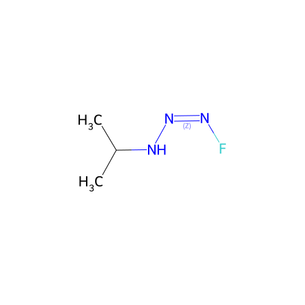 CC(C)N/N=N\F